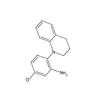 Nc1cc(Cl)ccc1N1CCCc2ccccc21